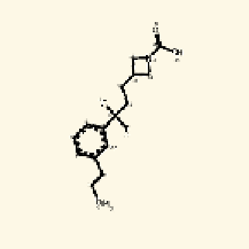 NCCc1cccc(C(F)(F)CCC2CN(C(=O)O)C2)c1